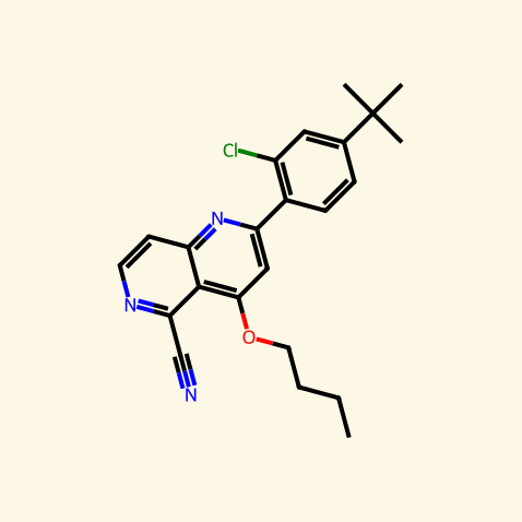 CCCCOc1cc(-c2ccc(C(C)(C)C)cc2Cl)nc2ccnc(C#N)c12